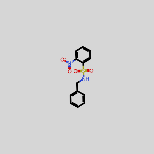 O=[N+]([O-])c1ccccc1S(=O)(=O)NCc1ccccc1